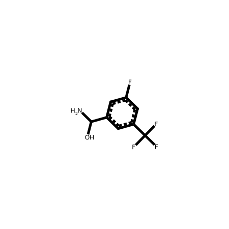 NC(O)c1cc(F)cc(C(F)(F)F)c1